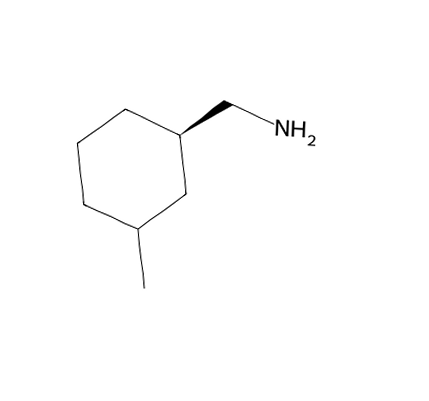 CC1CCC[C@@H](CN)C1